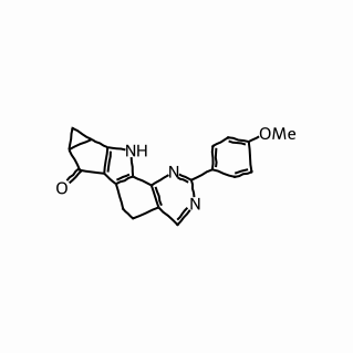 COc1ccc(-c2ncc3c(n2)-c2[nH]c4c(c2CC3)C(=O)C2CC42)cc1